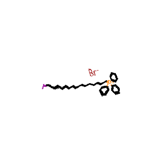 ICCCCCCCCCCCCC=CC[P+](c1ccccc1)(c1ccccc1)c1ccccc1.[Br-]